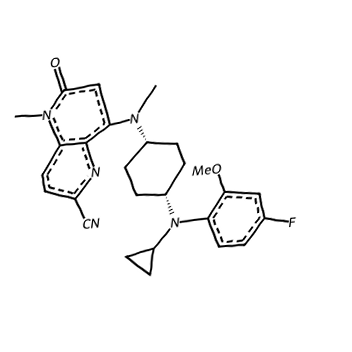 COc1cc(F)ccc1N(C1CC1)[C@H]1CC[C@@H](N(C)c2cc(=O)n(C)c3ccc(C#N)nc23)CC1